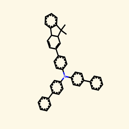 CC1(C)c2ccccc2C2C=CC(c3ccc(N(c4ccc(-c5ccccc5)cc4)c4ccc(-c5ccccc5)cc4)cc3)=CC21